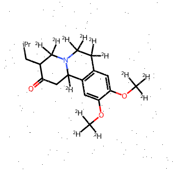 [2H]C([2H])([2H])Oc1cc2c(cc1OC([2H])([2H])[2H])C([2H])([2H])C([2H])([2H])N1C2([2H])CC(=O)C(CC(C)C)C1([2H])[2H]